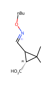 CCCCO/N=C/C1[C@@H](C(=O)O)C1(C)C